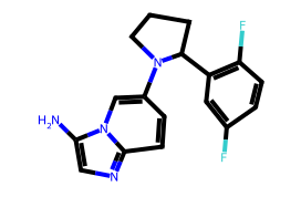 Nc1cnc2ccc(N3CCCC3c3cc(F)ccc3F)cn12